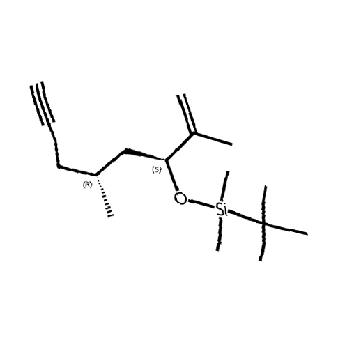 C#CC[C@@H](C)C[C@H](O[Si](C)(C)C(C)(C)C)C(=C)C